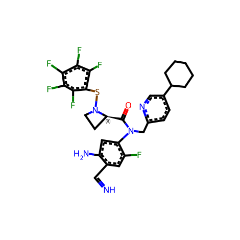 N=Cc1cc(F)c(N(Cc2ccc(C3CCCCC3)cn2)C(=O)[C@H]2CCN2Sc2c(F)c(F)c(F)c(F)c2F)cc1N